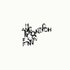 N#CC1(NS(=O)(=O)c2cc(N3CCN(C(=O)O)CC3)c3cnn(-c4nnc(C(F)F)s4)c3c2)CC1